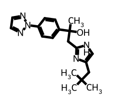 CC(C)(C)Cc1c[nH]c(CC(C)(O)c2ccc(-n3nccn3)cc2)n1